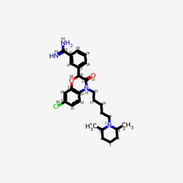 CC1CCCC(C)N1CCCCCN1C(=O)C(c2cccc(C(=N)N)c2)Oc2cc(Cl)ccc21